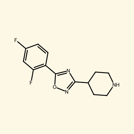 Fc1ccc(-c2nc(C3CCNCC3)no2)c(F)c1